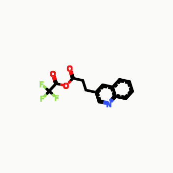 O=C(CCc1cnc2ccccc2c1)OC(=O)C(F)(F)F